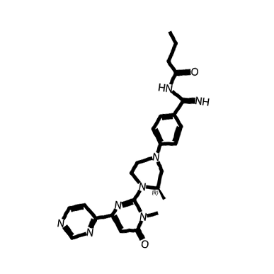 CCCC(=O)NC(=N)c1ccc(N2CCN(c3nc(-c4ccncn4)cc(=O)n3C)[C@H](C)C2)cc1